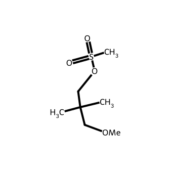 COCC(C)(C)COS(C)(=O)=O